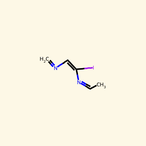 C=N/C=C(I)\N=C/C